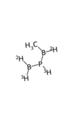 [2H]B([3H])P([3H])B([2H])C